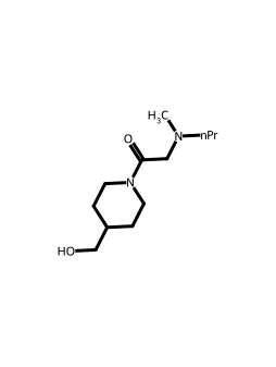 CCCN(C)CC(=O)N1CCC(CO)CC1